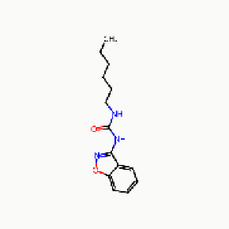 CCCCCCNC(=O)Nc1noc2ccccc12